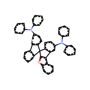 c1ccc(N(c2ccccc2)c2ccc3c(c2)-c2ccccc2C32c3ccc(N(c4ccccc4)c4ccccc4)cc3-c3c2oc2ccccc32)cc1